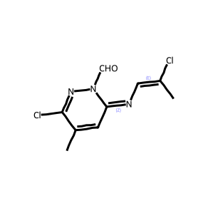 C/C(Cl)=C\N=c1\cc(C)c(Cl)nn1C=O